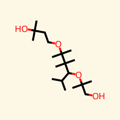 CC(C)C(OC(C)(C)CO)C(C)(C)C(C)(C)OCCC(C)(C)O